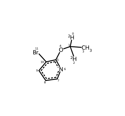 [2H]C([2H])(C)Oc1ncccc1Br